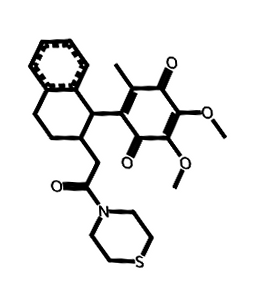 COC1=C(OC)C(=O)C(C2c3ccccc3CCC2CC(=O)N2CCSCC2)=C(C)C1=O